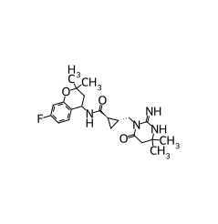 CC1(C)CC(=O)N(C[C@@H]2C[C@H]2C(=O)NC2CC(C)(C)Oc3cc(F)ccc32)C(=N)N1